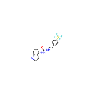 O=C(NCCc1ccc(S(F)(F)(F)(F)F)cc1)Nc1cccc2ncccc12